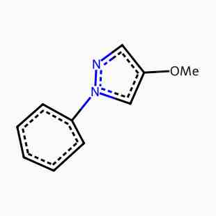 COc1cnn(-c2ccccc2)c1